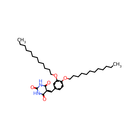 CCCCCCCCCCCCOc1ccc(C=C2C(=O)NC(=O)NC2=O)cc1OCCCCCCCCCCCC